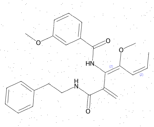 C=C(C(=O)NCCc1ccccc1)/C(NC(=O)c1cccc(OC)c1)=C(\C=C/C)OC